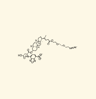 CC(CCC(=O)OCCOCCOCCN=[N+]=[N-])C1CC[C@H]2[C@@H]3CC[C@@H]4C[C@H](OC(=O)C(CC(=O)O)Nc5ccc([N+](=O)[O-])c6nonc56)CC[C@]4(C)[C@H]3CC[C@]12C